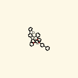 c1ccc(-c2ccc(-c3nc(-c4ccccc4)nc(-c4ccccc4-n4c5c(-c6ccccc6)cccc5c5ccc6c7ccccc7oc6c54)n3)cc2)cc1